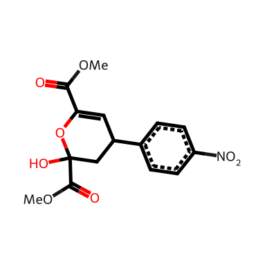 COC(=O)C1=CC(c2ccc([N+](=O)[O-])cc2)CC(O)(C(=O)OC)O1